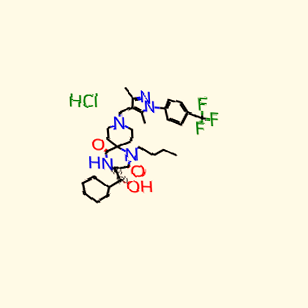 CCCCN1C(=O)[C@@H]([C@H](O)C2CCCCC2)NC(=O)C12CCN(Cc1c(C)nn(-c3ccc(C(F)(F)F)cc3)c1C)CC2.Cl